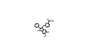 COc1cc2[nH]c(-c3cccnc3)c(Cc3cccc(C(=O)O)n3)c2cc1F